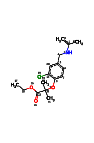 C=C(C)NCc1ccc(OC(C)(C)C(=O)OCC)c(Cl)c1